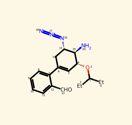 CCC(CC)O[C@@H]1C=C(c2ccccc2C=O)C[C@H](N=[N+]=[N-])[C@H]1N